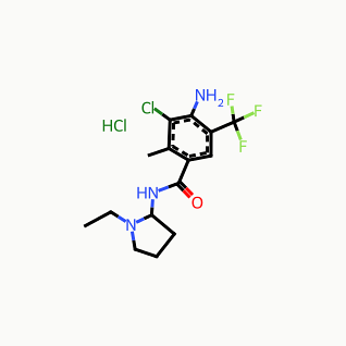 CCN1CCCC1NC(=O)c1cc(C(F)(F)F)c(N)c(Cl)c1C.Cl